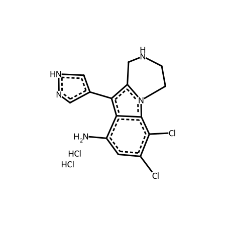 Cl.Cl.Nc1cc(Cl)c(Cl)c2c1c(-c1cn[nH]c1)c1n2CCNC1